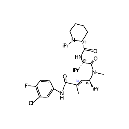 C/C(=C\[C@H](C(C)C)N(C)C(=O)[C@@H](NC(=O)[C@H]1CCCCN1C(C)C)C(C)C)C(=O)Nc1ccc(F)c(Cl)c1